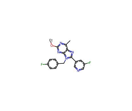 CCOc1nc(C)c2nc(-c3cncc(F)c3)n(Cc3ccc(F)cc3)c2n1